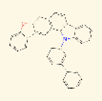 c1ccc(-c2cccc(-n3c4ccccc4c4ccc5cc6oc7ccccc7c6cc5c43)c2)cc1